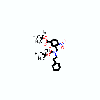 CC(C)(C)OC(=O)c1ccc([N+](=O)[O-])c(CN(CCc2ccccc2)C(=O)OC(C)(C)C)c1